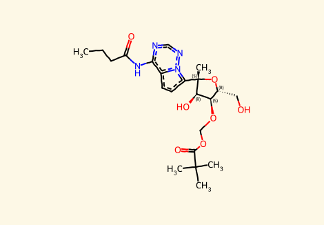 CCCC(=O)Nc1ncnn2c([C@]3(C)O[C@H](CO)[C@@H](OCOC(=O)C(C)(C)C)[C@H]3O)ccc12